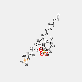 CCCCCCCCCCCCCCCCCC[P+](C)(C)C.Cc1ccc(S(=O)(=O)[O-])cc1